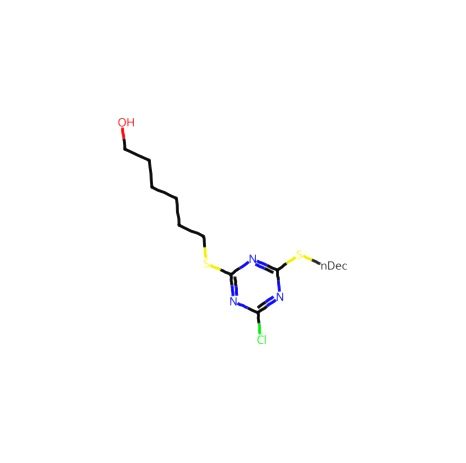 CCCCCCCCCCSc1nc(Cl)nc(SCCCCCCO)n1